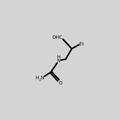 CCC(C=O)CNC(N)=O